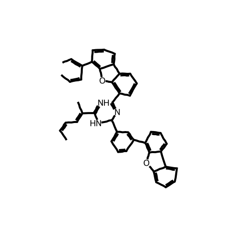 C/C=C\C=C(/C)C(=N)NC(/N=C/c1cccc2c1oc1c(C(/C=C\C)=C/C)cccc12)c1cccc(-c2cccc3c2oc2ccccc23)c1